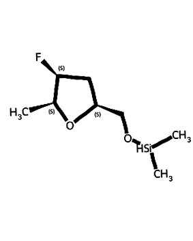 C[C@@H]1O[C@H](CO[SiH](C)C)C[C@@H]1F